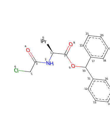 CC(C)[C@H](NC(=O)CCl)C(=O)OC(c1ccccc1)c1ccccc1